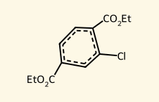 CCOC(=O)c1ccc(C(=O)OCC)c(Cl)c1